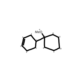 COC1(C2CC=CCC2)CCCCC1